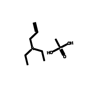 C=CCN(CC)CC.CP(=O)(O)O